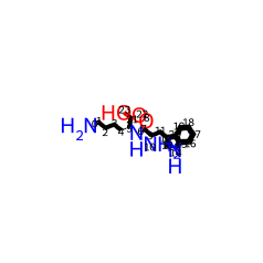 NCCCC[C@@H](NC(=O)[C@H](N)Cc1c[nH]c2ccccc12)C(=O)O